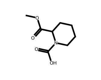 COC(=O)C1CCCCN1C(=O)O